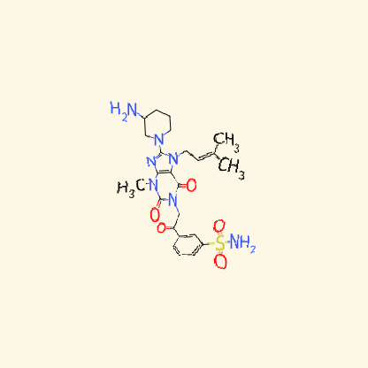 CC(C)=CCn1c(N2CCCC(N)C2)nc2c1c(=O)n(CC(=O)c1cccc(S(N)(=O)=O)c1)c(=O)n2C